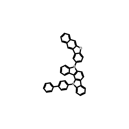 c1ccc(-c2ccc(-n3c4ccccc4c4ccc5c(c6ccccc6n5-c5ccc6oc7cc8ccccc8cc7c6c5)c43)cc2)cc1